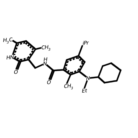 CCN(c1cc(C(C)C)cc(C(=O)NCc2c(C)cc(C)[nH]c2=O)c1C)C1CCCCC1